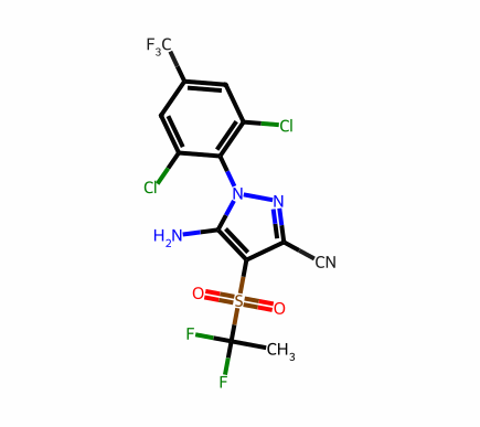 CC(F)(F)S(=O)(=O)c1c(C#N)nn(-c2c(Cl)cc(C(F)(F)F)cc2Cl)c1N